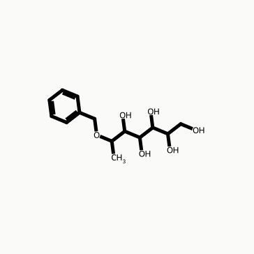 CC(OCc1ccccc1)C(O)C(O)C(O)C(O)CO